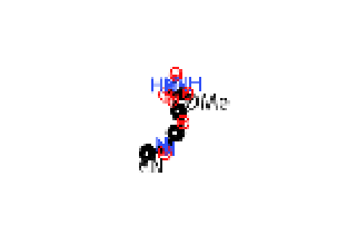 COCCC1(Oc2ccc(Oc3ccc(-c4noc(-c5cccc(C#N)c5)n4)cc3)cc2)C(=O)NC(=O)NC1=O